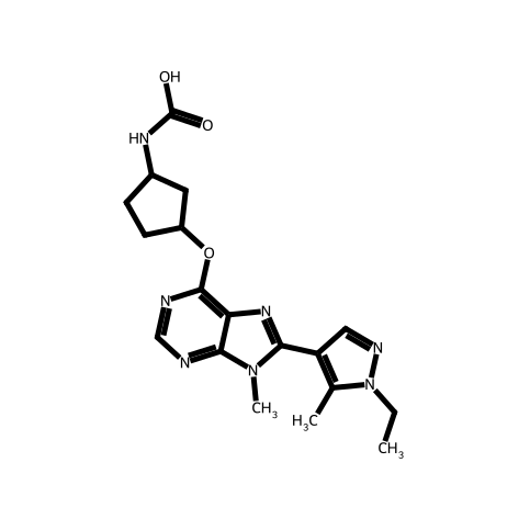 CCn1ncc(-c2nc3c(OC4CCC(NC(=O)O)C4)ncnc3n2C)c1C